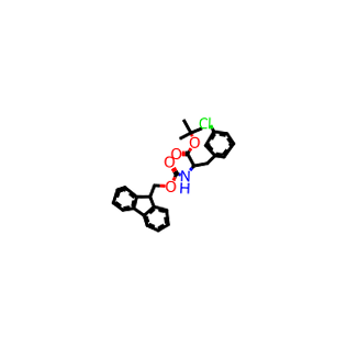 CC(C)(C)OC(=O)C(Cc1cccc(Cl)c1)NC(=O)OCC1c2ccccc2-c2ccccc21